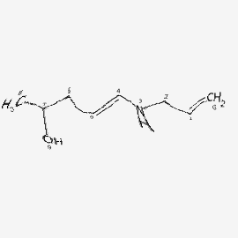 C=CCNC=CCC(C)O